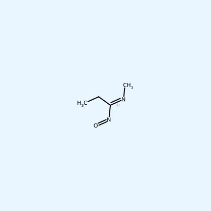 CC/C(N=O)=N\C